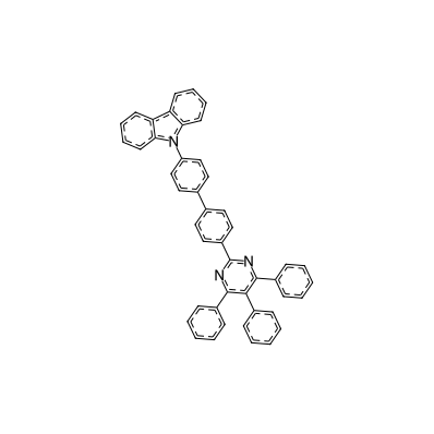 c1ccc(-c2nc(-c3ccc(-c4ccc(-n5c6ccccc6c6ccccc65)cc4)cc3)nc(-c3ccccc3)c2-c2ccccc2)cc1